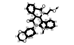 COCCN1C(=O)c2ccccc2C(C(=O)Nc2ccc3c(c2)OCCO3)C1c1cn(C)c2ccccc12